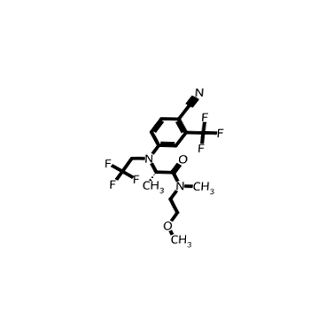 COCCN(C)C(=O)[C@H](C)N(CC(F)(F)F)c1ccc(C#N)c(C(F)(F)F)c1